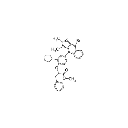 COC(=O)C(Cc1ccccc1)Oc1ccc(-c2c3ccccc3c(Br)c3sc(C)c(C)c23)cc1C1CCCC1